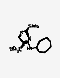 CCOC(=O)c1cnc(SC)nc1NC1CCCCCC1